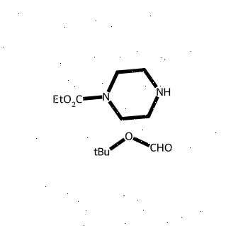 CC(C)(C)OC=O.CCOC(=O)N1CCNCC1